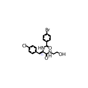 O=C(NCCO)/C(=C/c1ccc(Cl)cc1)NC(=O)c1ccc(Br)cc1